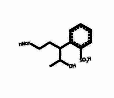 CCCCCCCCCCCC(c1ccccc1S(=O)(=O)O)C(C)O